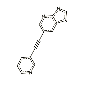 C(#Cc1cnc2ncsc2c1)c1cccnc1